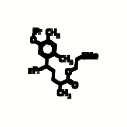 CCCC(CCC(C)C(=O)OCCSC)c1cc(OC(C)C)c(C)cc1C